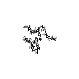 CN(CCNc1cc(N2CCC3(CC2)CN(c2cc(F)c(CN4CCC(C)(C)CC4)cc2F)CC(=O)N3)nc(CC2(C)CCN(Cc3cc(F)c(N4CC(=O)NC5(CCN(c6cc(NCCN(C)[C@@H]7C[C@@H]8CN(c9ccc%10c(c9)CN(C9CCC(=O)NC9=O)C%10=O)C[C@@H]8C7)ncn6)CC5)C4)cc3F)CC2)n1)C1C[C@@H]2CN(CCCNc3ccc4c(c3)CN(C3CCC(=O)NC3=O)C4=O)C[C@@H]2C1